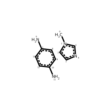 Cn1ccnc1.Nc1ccc(N)cc1